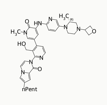 CCCCCc1cc2c(=O)n(-c3nccc(-c4cc(Nc5ccc(N6CCN(C7COC7)C[C@H]6C)cn5)c(=O)n(C)c4)c3CO)ccn2c1